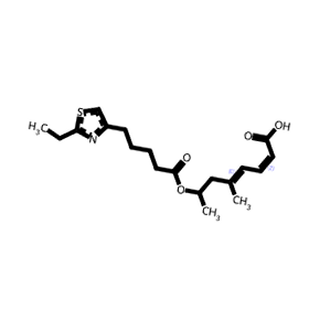 CCc1nc(CCCCC(=O)OC(C)C/C(C)=C/C=C\C(=O)O)cs1